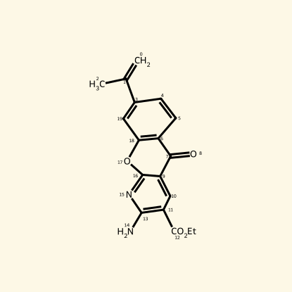 C=C(C)c1ccc2c(=O)c3cc(C(=O)OCC)c(N)nc3oc2c1